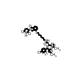 Cc1sc2c(c1C)C(c1ccc(Cl)cc1)=N[C@@H](CC(=O)NCCCCCCSc1cccc3c1CN(C1CCC(=O)NC1=O)C3=O)c1nnc(C)n1-2